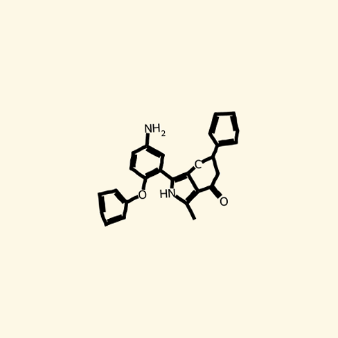 Cc1[nH]c(-c2cc(N)ccc2Oc2ccccc2)c2c1C(=O)CC(c1ccccc1)C2